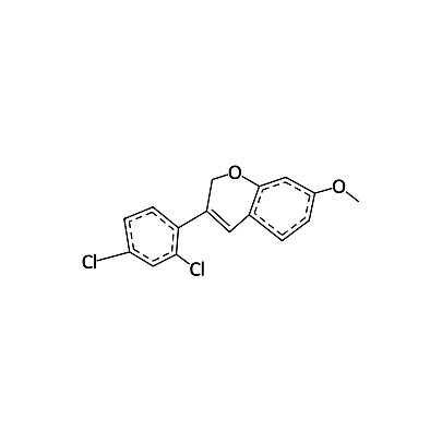 COc1ccc2c(c1)OCC(c1ccc(Cl)cc1Cl)=C2